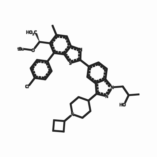 Cc1cc2nc(-c3ccc4c(c3)c(C3CCN(C5CCC5)CC3)nn4CC(C)O)sc2c(-c2ccc(Cl)cc2)c1[C@H](OC(C)(C)C)C(=O)O